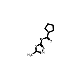 CC1NN=C(NC(=O)C2CCCC2)S1